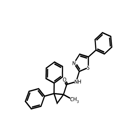 CC1(C(=O)Nc2ncc(-c3ccccc3)s2)CC1(c1ccccc1)c1ccccc1